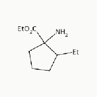 CCOC(=O)C1(N)CCCC1CC